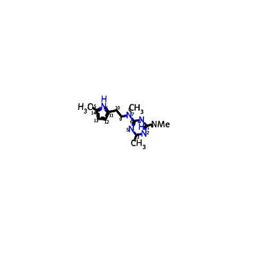 CNC1=NC(C)N=C(N(C)CCc2ccc(C)[nH]2)N1